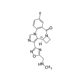 CNCc1nc(-c2ncn3c2[C@@H]2CCN2C(=O)c2cc(F)ccc2-3)no1